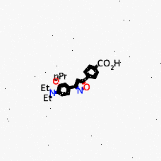 CCCOc1cc(-c2cc(-c3ccc(C(=O)O)cc3)on2)ccc1N(CC)CC